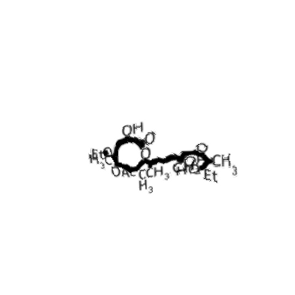 CCOC1(C)CCC(O)CC(=O)OC(/C(C)=C/C=C/C(C)(O)CC2OC2C(C)C(O)CC)C(C)/C=C/C1OC(C)=O